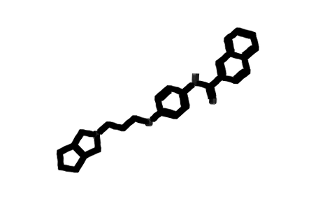 O=C(Nc1ccc(OCCCN2CC3CCCC3C2)cc1)c1ccc2ccccc2c1